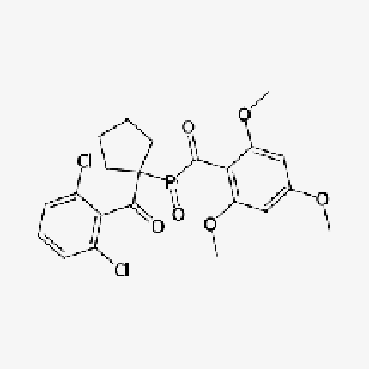 COc1cc(OC)c(C(=O)[P](=O)C2(C(=O)c3c(Cl)cccc3Cl)CCCC2)c(OC)c1